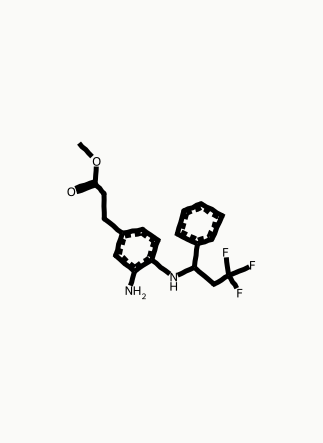 COC(=O)CCc1ccc(NC(CC(F)(F)F)c2ccccc2)c(N)c1